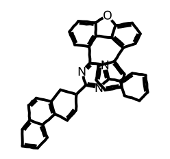 C1=CCCC(c2nc(-c3cccc4oc5cccc(-c6ccccc6)c5c34)nc(C3C=Cc4c(ccc5ccccc45)C3)n2)=C1